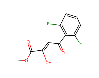 COC(=O)/C(O)=C/C(=O)c1c(F)cccc1F